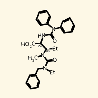 CC[C@H]([C@H](NC(=O)N(c1ccccc1)c1ccccc1)C(=O)O)N(C)C(=O)N(CC)Cc1ccccc1